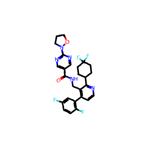 O=C(NCc1c(-c2cc(F)ccc2F)ccnc1C1CCC(F)(F)CC1)c1cnc(N2CCCO2)nc1